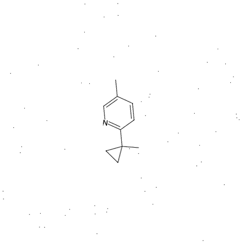 Cc1ccc(C2(C)CC2)nc1